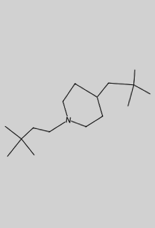 CC(C)(C)CCN1CCC(CC(C)(C)C)CC1